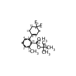 Cc1cccc(C2=CCC(F)(F)CC2)c1C(=O)OC(C)(C)C